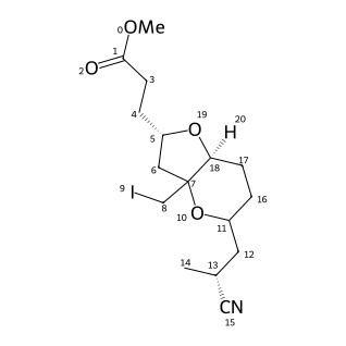 COC(=O)CC[C@H]1CC2(CI)OC(C[C@@H](C)C#N)CC[C@@H]2O1